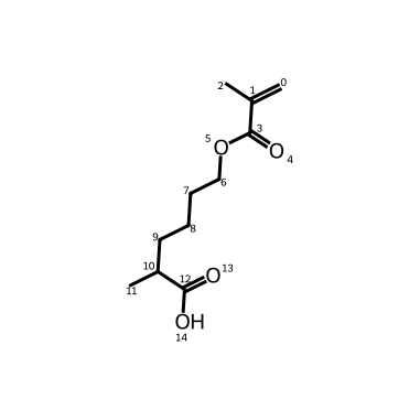 C=C(C)C(=O)OCCCCC(C)C(=O)O